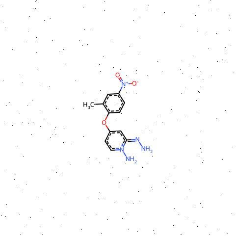 Cc1cc([N+](=O)[O-])ccc1Oc1ccn(N)/c(=N\N)c1